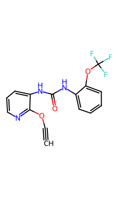 C#COc1ncccc1NC(=O)Nc1ccccc1OC(F)(F)F